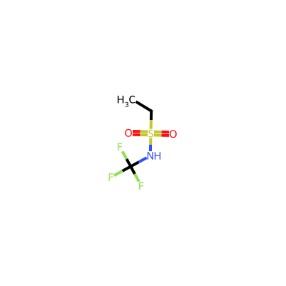 CCS(=O)(=O)NC(F)(F)F